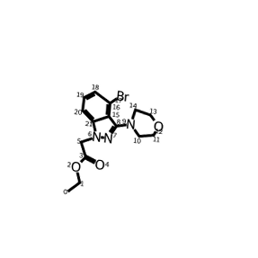 CCOC(=O)Cn1nc(N2CCOCC2)c2c(Br)cccc21